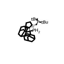 CC(C)(C)P(C[C@H]1CCC[C@H]1C(P)(C12CC3CC(CC(C3)C1)C2)C12CC3CC(CC(C3)C1)C2)C(C)(C)C